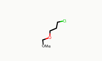 COCOCCCCl